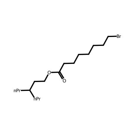 CCCC(CCC)CCOC(=O)CCCCCCCBr